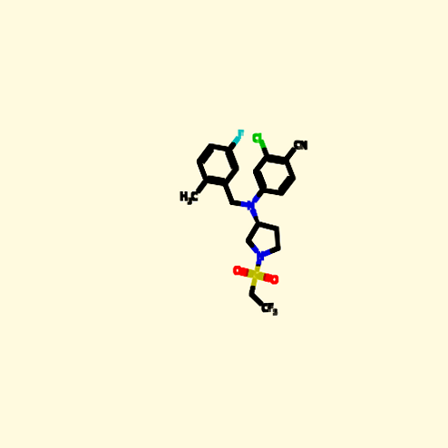 Cc1ccc(F)cc1CN(c1ccc(C#N)c(Cl)c1)[C@H]1CCN(S(=O)(=O)CC(F)(F)F)C1